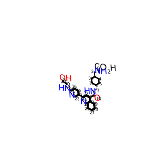 O=C(O)NC[C@H]1CC[C@H](CNC(=O)c2cc(-c3ccc(NCCO)nc3)nc3ccccc23)CC1